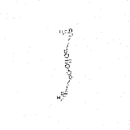 C=CC(=O)OCCCCCCCOc1ccc(-c2ccc(OC(=O)c3ccc(OCCCCCCCC4CC(=C)C(=O)O4)cc3)cc2)cc1